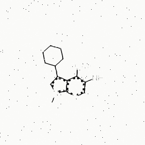 COc1c(N)cnc2c1c(C1CCCCC1)cn2C